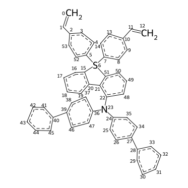 C=Cc1ccc(S2(c3ccc(C=C)cc3)c3ccccc3-c3c(N(c4ccc(-c5ccccc5)cc4)c4ccc(-c5ccccc5)cc4)cccc32)cc1